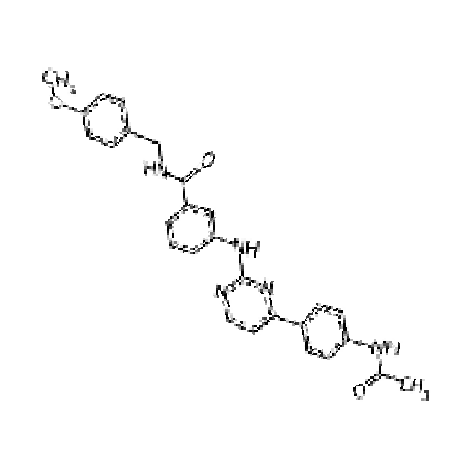 COc1ccc(CNC(=O)c2cccc(Nc3nccc(-c4ccc(NC(C)=O)cc4)n3)c2)cc1